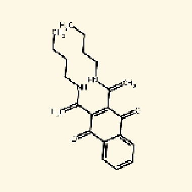 C=C(NCCCC)C1=C(C(=C)NCCCC)C(=O)c2ccccc2C1=O